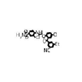 CCc1cc(C#N)cc(C(=O)c2cc(Cl)ccc2OCC(=O)Nc2ccc(S(N)(=O)=O)cc2C)c1